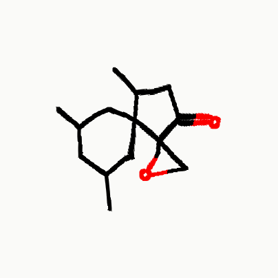 CC1CC(C)CC2(C1)C(C)CC(=O)C21CO1